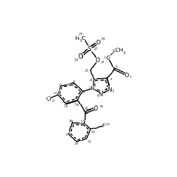 COC(=O)c1nnn(-c2ccc(Cl)cc2C(=O)c2ccccc2F)c1COS(C)(=O)=O